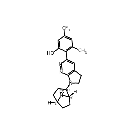 CCN1[C@H]2CC[C@@H](N3CCc4cc(-c5c(C)cc(C(F)(F)F)cc5O)nnc43)[C@@H]1CC2